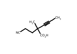 CC#CC(C)(CCC#N)C(=O)O